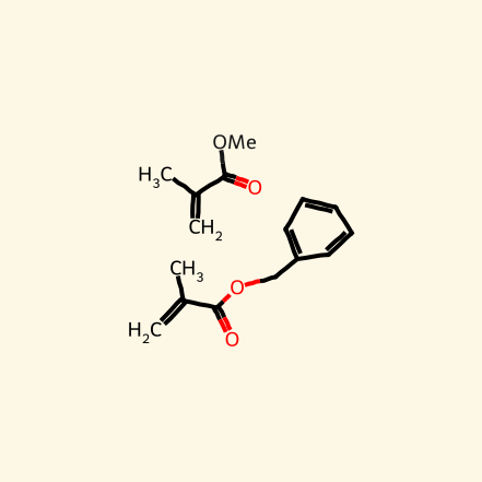 C=C(C)C(=O)OC.C=C(C)C(=O)OCc1ccccc1